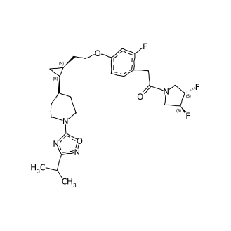 CC(C)c1noc(N2CCC([C@H]3C[C@H]3CCOc3ccc(CC(=O)N4C[C@H](F)[C@@H](F)C4)c(F)c3)CC2)n1